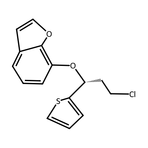 ClCC[C@@H](Oc1cccc2ccoc12)c1cccs1